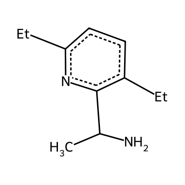 CCc1ccc(CC)c(C(C)N)n1